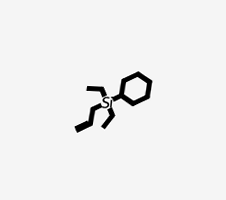 C=CC[Si](CC)(CC)C1CCCCC1